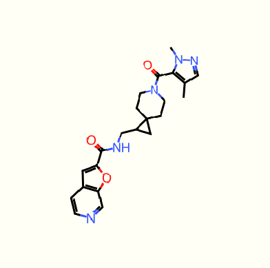 Cc1cnn(C)c1C(=O)N1CCC2(CC1)CC2CNC(=O)c1cc2ccncc2o1